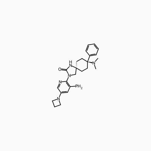 CN(C)[C@]1(c2ccccc2)CC[C@]2(CC1)CN(c1ncc(N3CCC3)cc1P)C(=O)N2